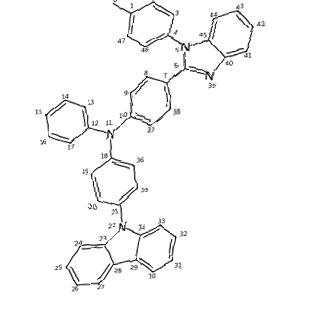 Cc1ccc(-n2c(-c3ccc(N(c4ccccc4)c4ccc(-n5c6ccccc6c6ccccc65)cc4)cc3)nc3ccccc32)cc1